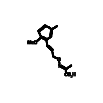 COc1ccc(C)cc1C=CCON=C(C)C(=O)O